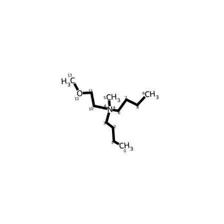 CCCC[N+](C)(CCCC)CCOC